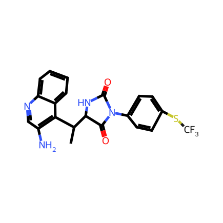 CC(c1c(N)cnc2ccccc12)C1NC(=O)N(c2ccc(SC(F)(F)F)cc2)C1=O